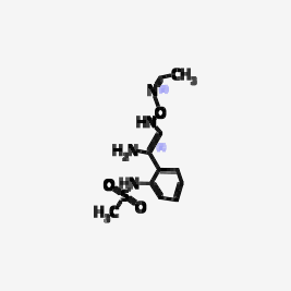 C/C=N\ON/C=C(\N)c1ccccc1NS(C)(=O)=O